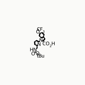 CC(C)(C)OC(=O)NCc1cccc(-n2c(C(=O)O)cc3ccc(OC(F)(F)F)cc32)n1